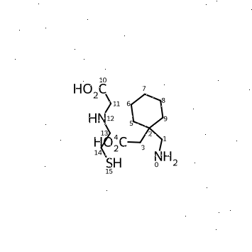 NCC1(CC(=O)O)CCCCC1.O=C(O)CNCCS